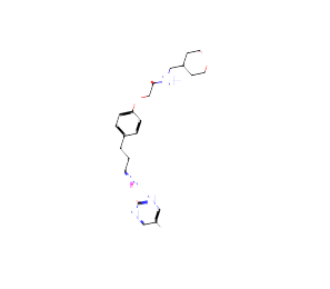 CCc1cnc(ON=CCCc2ccc(OCC(=O)NCC3CCOCC3)cc2)nc1